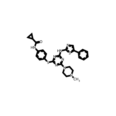 CN1CCN(c2nc(Nc3ncc(-c4ccccc4)s3)nc(Sc3ccc(NC(=O)C4CC4)cc3)n2)CC1